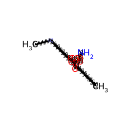 CCCCCCCC/C=C\CCCCCCCCCCCCCC(=O)OC(COC(=O)CCCCCCCCCCCCCC)COP(=O)(O)OCCN